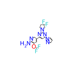 Nc1ncc(-c2cc(-n3cccn3)nc(N3CCC(F)(F)C3)n2)cc1OC(F)F